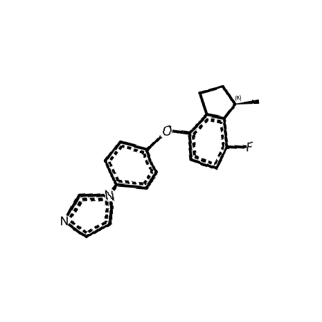 C[C@@H]1CCc2c(Oc3ccc(-n4ccnc4)cc3)ccc(F)c21